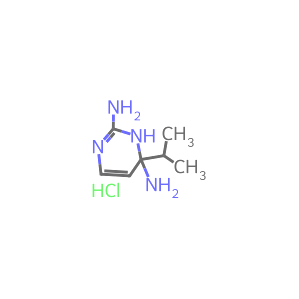 CC(C)C1(N)C=CN=C(N)N1.Cl